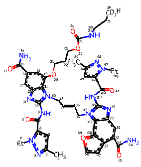 CCn1nc(C)cc1C(=O)Nc1nc2cc(C(N)=O)cc(OCCCOC(=O)NCCC(=O)O)c2n1C/C=C/Cn1c(NC(=O)c2cc(C)nn2CC)nc2cc(C(N)=O)c3ccoc3c21